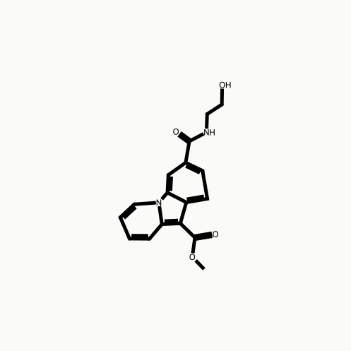 COC(=O)c1c2ccc(C(=O)NCCO)cc2n2ccccc12